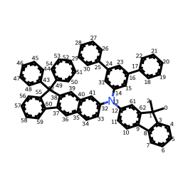 CC1(C)c2ccccc2-c2ccc(N(c3cc(-c4ccccc4)cc(-c4ccccc4)c3)c3ccc4cc5c(cc4c3)C(c3ccccc3)(c3ccccc3)c3ccccc3-5)cc21